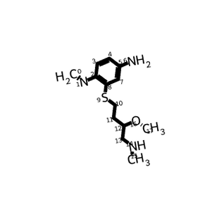 C=Nc1ccc(N)cc1SCCC(CNC)OC